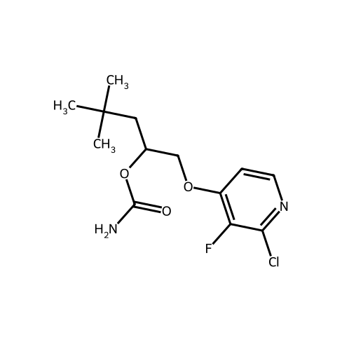 CC(C)(C)CC(COc1ccnc(Cl)c1F)OC(N)=O